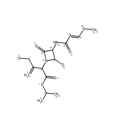 C=C(CCl)C(C(=O)OC(C)C)N1C(=O)C(NC(=O)C=COC)C1Cl